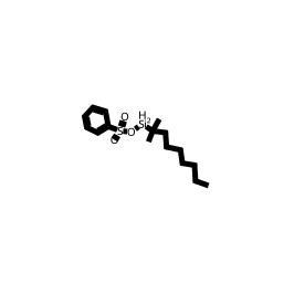 CCCCCCCC(C)(C)[SiH2]OS(=O)(=O)c1ccccc1